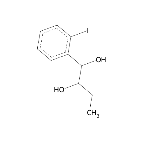 CCC(O)C(O)c1ccccc1I